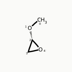 CO[C@H]1CO1